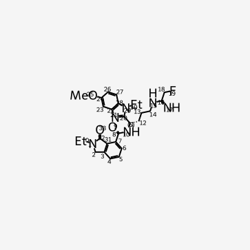 CCN1Cc2cccc(C(=O)N[C@@H](CCCNC(=N)CF)c3nc4cc(OC)ccc4n3CC)c2C1=O